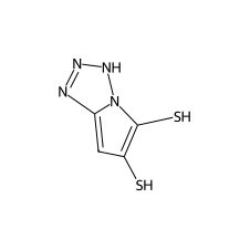 Sc1cc2nn[nH]n2c1S